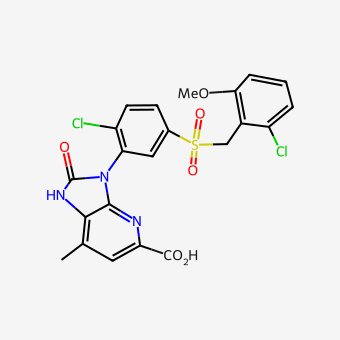 COc1cccc(Cl)c1CS(=O)(=O)c1ccc(Cl)c(-n2c(=O)[nH]c3c(C)cc(C(=O)O)nc32)c1